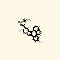 Cc1c[nH]c2nccc(-c3c(-c4ccc(F)cc4)nn4c3CN(C(=O)OC(C)(C)C)[C@@H](C)C4)c12